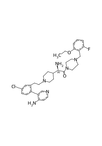 CCOc1cccc(F)c1CN1CCN(C(=O)[C@H](N)C2CCN(CCc3cc(Cl)ccc3-c3cnccc3N)CC2)CC1